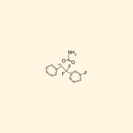 NC(=O)O[C@@H](c1ccccc1)C(F)(F)c1cccc(F)c1